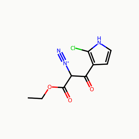 CCOC(=O)C([N+]#N)C(=O)c1cc[nH]c1Cl